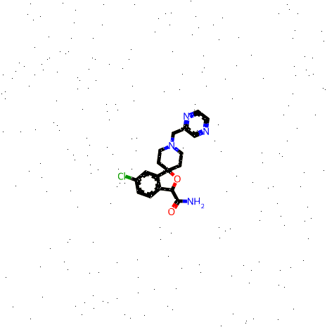 NC(=O)C1OC2(CCN(Cc3cnccn3)CC2)c2cc(Cl)ccc21